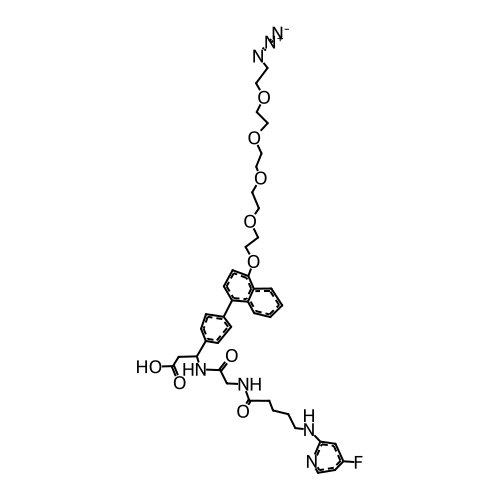 [N-]=[N+]=NCCOCCOCCOCCOCCOc1ccc(-c2ccc(C(CC(=O)O)NC(=O)CNC(=O)CCCCNc3cc(F)ccn3)cc2)c2ccccc12